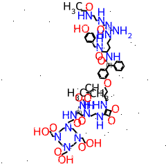 CCC(=O)NCCNC(=O)/N=C(/N)NCCCC(NC(=O)[C@H](c1ccccc1)c1cccc(OCCCCNc2c(NCCNC(=O)[C@@H](CNC(=O)OC(C)(C)C)NC(=O)CN3CCN(CC(=O)O)CCN(CC(=O)O)CCN(CC(=O)O)CC3)c(=O)c2=O)c1)C(=O)NCc1ccc(O)cc1